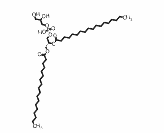 CCCCCCCCCCCCCCCCCC(=O)OC[C@H](COP(=O)(O)OCC(O)CO)OC(=O)CCCCCCCCCCCCCCCCC